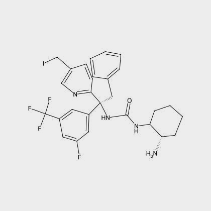 N[C@H]1CCCCC1NC(=O)N[C@@](Cc1ccccc1)(c1cc(F)cc(C(F)(F)F)c1)c1ccc(CI)cn1